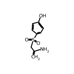 C=C(N)CS(=O)(=O)c1ccc(O)cc1